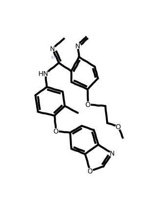 C=Nc1ccc(OCCOC)cc1/C(=N\C)Nc1ccc(Oc2ccc3ncoc3c2)c(C)c1